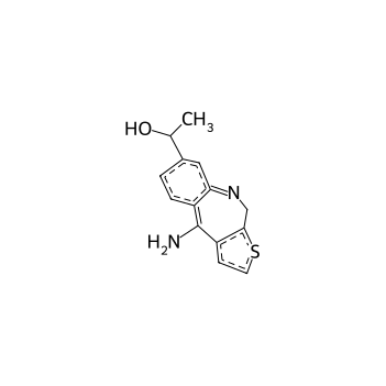 CC(O)c1ccc2c(c1)=NCc1sccc1C=2N